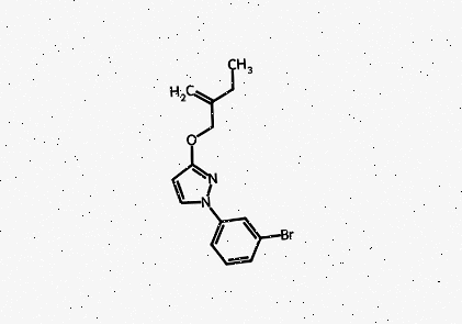 C=C(CC)COc1ccn(-c2cccc(Br)c2)n1